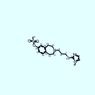 Cn1ccnc1SCCCN1CCc2ccc(OS(C)(=O)=O)cc2CC1